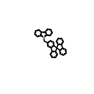 c1ccc2c(c1)-c1ccccc1C21c2ccccc2-c2cc(Cn3c4ccccc4c4ccccc43)ccc21